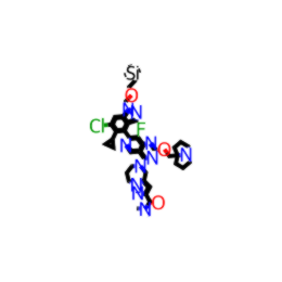 CN(C)C(=O)c1cc2n(n1)CCCN(c1nc(OCC34CCCN3CCC4)nc3c(F)c(-c4c(C5CC5)c(Cl)cc5c4cnn5COCC[Si](C)(C)C)ncc13)C2